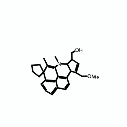 COCC1=CC(CO)C2C1c1ccc3cccc4c3c1C(=C(C)C41CCCC1)N2C